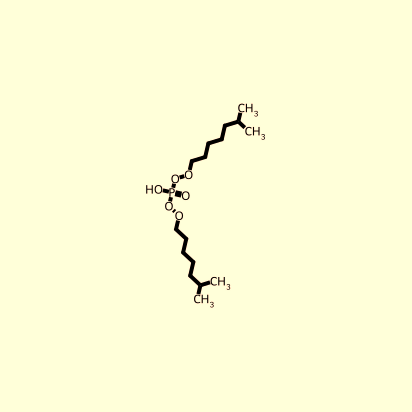 CC(C)CCCCCOOP(=O)(O)OOCCCCCC(C)C